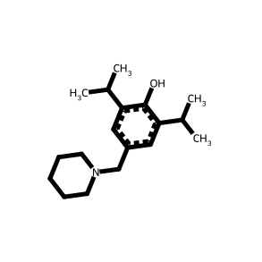 CC(C)c1cc(CN2CCCCC2)cc(C(C)C)c1O